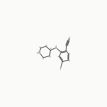 N#Cc1ccc(F)cc1OC1CCOCC1